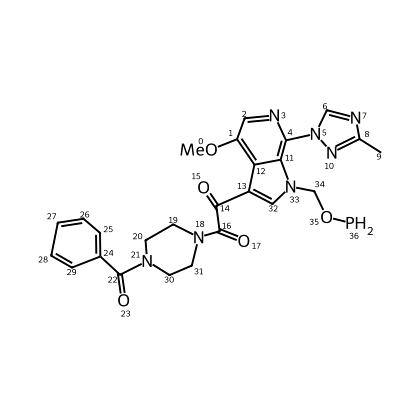 COc1cnc(-n2cnc(C)n2)c2c1c(C(=O)C(=O)N1CCN(C(=O)c3ccccc3)CC1)cn2COP